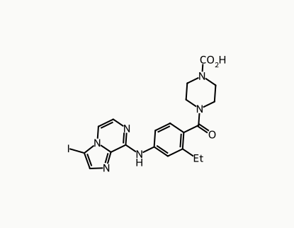 CCc1cc(Nc2nccn3c(I)cnc23)ccc1C(=O)N1CCN(C(=O)O)CC1